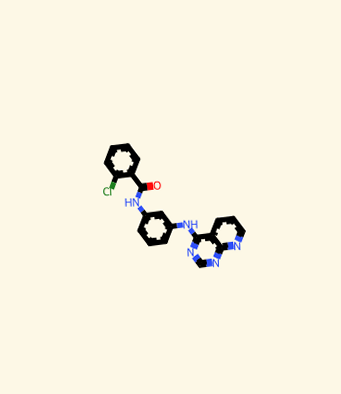 O=C(Nc1cccc(Nc2ncnc3ncccc23)c1)c1ccccc1Cl